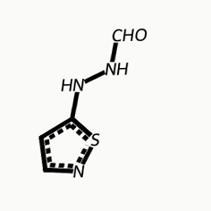 O=CNNc1ccns1